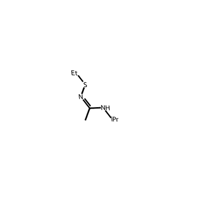 CCSN=C(C)NC(C)C